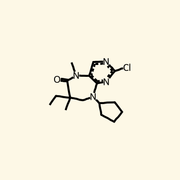 CCC1(C)CN(C2CCCC2)c2nc(Cl)ncc2N(C)C1=O